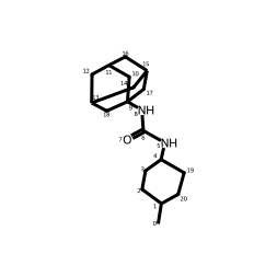 CC1CCC(NC(=O)NC23CC4CC(CC(C4)C2)C3)CC1